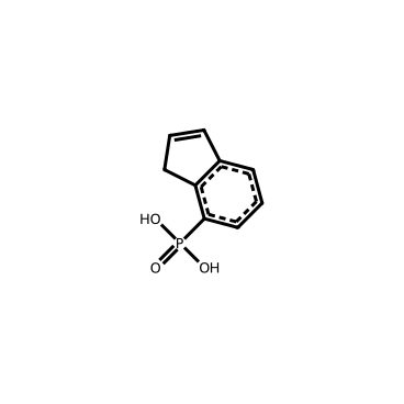 O=P(O)(O)c1cccc2c1CC=C2